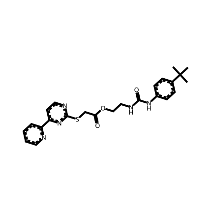 CC(C)(C)c1ccc(NC(=O)NCCOC(=O)CSc2nccc(-c3ccccn3)n2)cc1